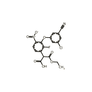 CCOC(=O)C(C(=O)O)c1ccc([N+](=O)[O-])c(Oc2cc(Cl)cc(C#N)c2)c1F